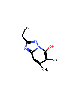 Cc1cc2nc(CC(C)C)nn2c(O)c1C#N